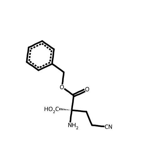 N#CCC[C@](N)(C(=O)O)C(=O)OCc1ccccc1